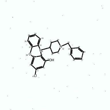 Oc1cc(Cl)cc2c1N(C1CCN(Cc3ccccc3)CC1)c1ccccc1O2